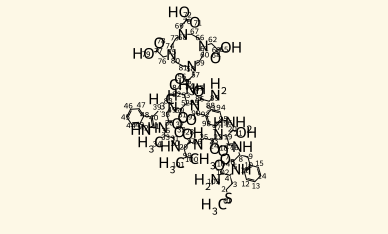 CSCC[C@H](NC(=O)[C@H](Cc1ccccc1)NC(=O)[C@H](CO)NC(=O)CNC(=O)[C@@H](NC(=O)[C@H](C)NC(=O)[C@H](Cc1c[nH]c2ccccc12)NC(=O)[C@H]([C@H](NC(=O)CN1CCN(CC(=O)O)CCN(CC(=O)O)CCN(CC(=O)O)CC1)C(C)C)N(C(=O)CN)C(=O)c1ccc(N)cc1)C(C)C)C(N)=O